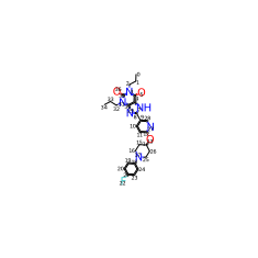 CCCn1c(=O)c2[nH]c(-c3ccc(OC4CCN(c5ccc(F)cc5)CC4)nc3)nc2n(CCC)c1=O